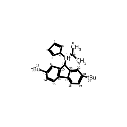 C[C](C)=[Hf]([CH]1C=CC=C1)[CH]1c2cc(C(C)(C)C)ccc2-c2ccc(C(C)(C)C)cc21